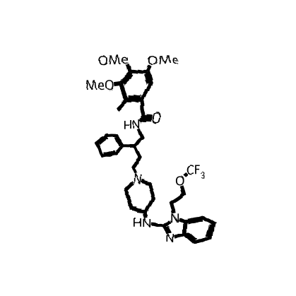 COc1cc(C(=O)NCC(CCN2CCC(Nc3nc4ccccc4n3CCOC(F)(F)F)CC2)c2ccccc2)c(C)c(OC)c1OC